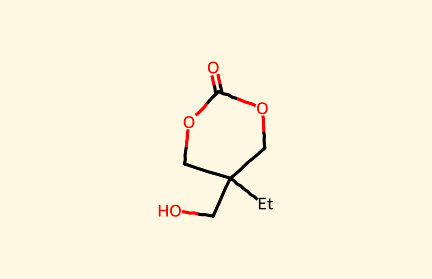 CCC1(CO)COC(=O)OC1